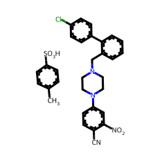 Cc1ccc(S(=O)(=O)O)cc1.N#Cc1ccc(N2CCN(Cc3ccccc3-c3ccc(Cl)cc3)CC2)cc1[N+](=O)[O-]